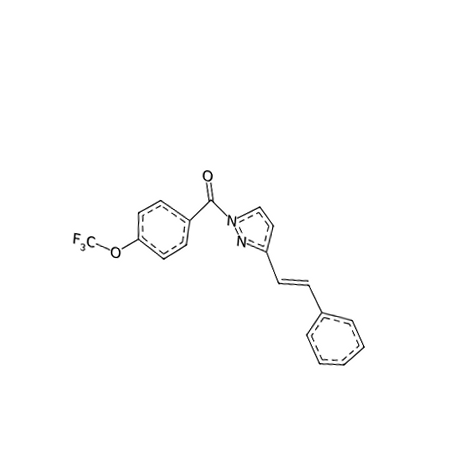 O=C(c1ccc(OC(F)(F)F)cc1)n1ccc(/C=C/c2ccccc2)n1